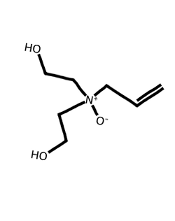 C=CC[N+]([O-])(CCO)CCO